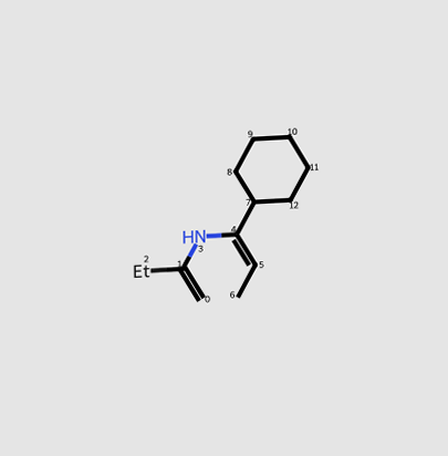 C=C(CC)N/C(=C\C)C1CCCCC1